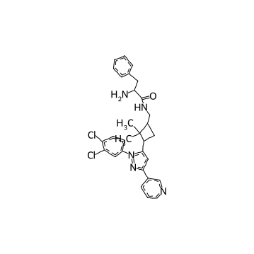 CC1(C)C(CNC(=O)C(N)Cc2ccccc2)CC1c1cc(-c2cccnc2)nn1-c1ccc(Cl)c(Cl)c1